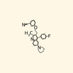 Cc1nc2ccc(N3CCCCC3)cc2c(-c2ccc(F)cc2)c1CCOc1cccc(C#N)c1